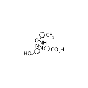 O=C(Nc1nc2cc(CO)ccc2n1C1CCC(C(=O)O)CC1)c1cccc(C(F)(F)F)c1